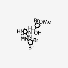 COc1ccc(C(O)CNc2cc[nH]c(=O)c2-c2nc3c(Br)cc(Br)cc3[nH]2)cc1Br